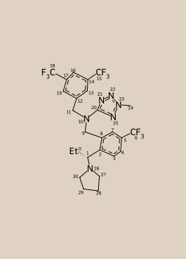 CC[C@H](c1ccc(C(F)(F)F)cc1CN(Cc1cc(C(F)(F)F)cc(C(F)(F)F)c1)c1nnn(C)n1)N1CCCC1